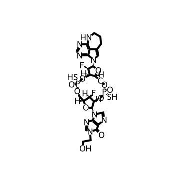 O=c1c2ncn([C@@H]3O[C@@H]4COP(=O)(S)O[C@H]5[C@@H](F)[C@H](n6cc7c8c(ncnc86)NCCC7)O[C@@H]5COP(=O)(S)O[C@@H]3[C@@H]4F)c2ncn1CCO